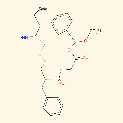 CCOC(=O)OC(OC(=O)CNC(=O)C(CSSCC([NH])CCSC)Cc1ccccc1)c1ccccc1